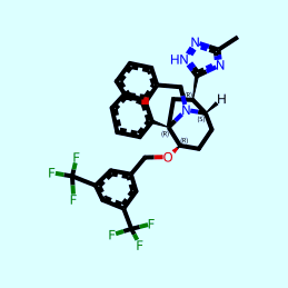 Cc1n[nH]c([C@@H]2C[C@@]3(c4ccccc4)[C@H](OCc4cc(C(F)(F)F)cc(C(F)(F)F)c4)CC[C@@H]2N3Cc2ccccc2)n1